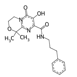 CC1(C)OCCn2c1nc(C(=O)NCCCc1ccccc1)c(O)c2=O